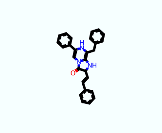 O=C1C(C=Cc2ccccc2)NC2=C(Cc3ccccc3)NC(c3ccccc3)=CN12